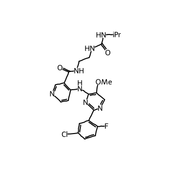 COc1cnc(-c2cc(Cl)ccc2F)nc1Nc1ccncc1C(=O)NCCNC(=O)NC(C)C